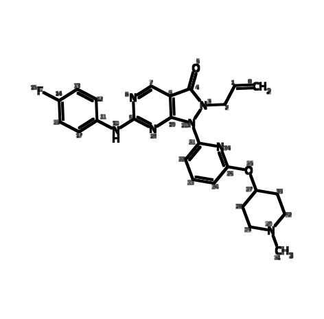 C=CCn1c(=O)c2cnc(Nc3ccc(F)cc3)nc2n1-c1cccc(OC2CCN(C)CC2)n1